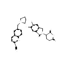 N#Cc1ccc2cc(CN3CC[C@H](Oc4cc5c(cc4F)C(=O)N(C4CCC(=O)NC4=O)C5)C3)ccc2n1